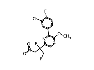 COc1ccc(C(F)(CF)C[N+](=O)[O-])nc1-c1ccc(F)c(Cl)c1